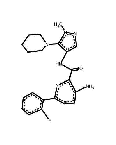 Cn1ncc(NC(=O)c2nc(-c3ccccc3F)ccc2N)c1N1CCCCC1